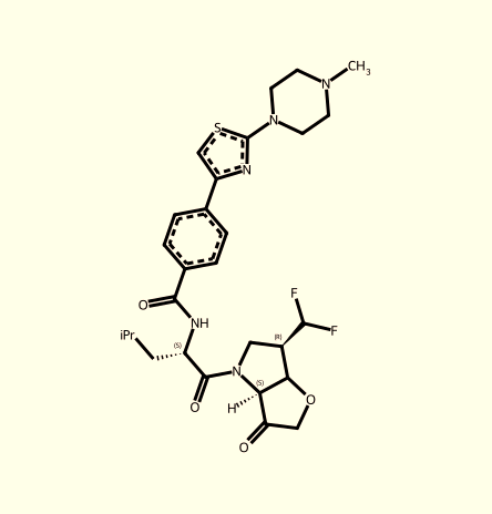 CC(C)C[C@H](NC(=O)c1ccc(-c2csc(N3CCN(C)CC3)n2)cc1)C(=O)N1C[C@@H](C(F)F)C2OCC(=O)[C@H]21